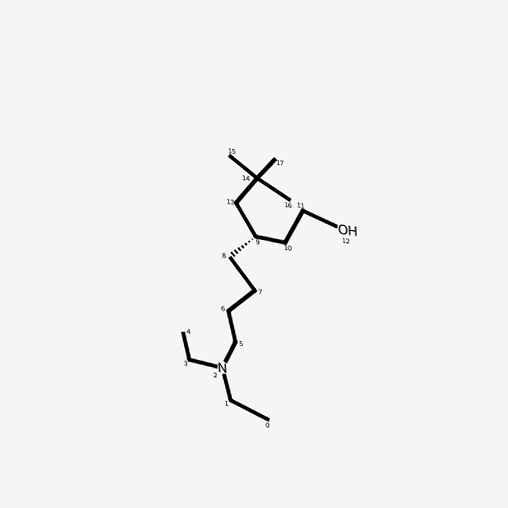 CCN(CC)CCCC[C@@H](CCO)CC(C)(C)C